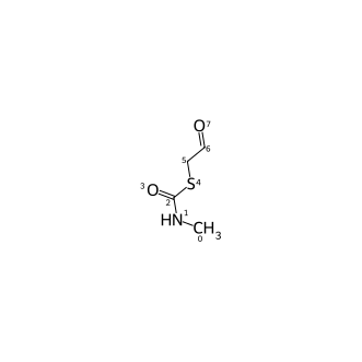 CNC(=O)SCC=O